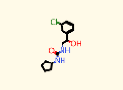 O=C(NCC(O)c1cccc(Cl)c1)NC1CCCC1